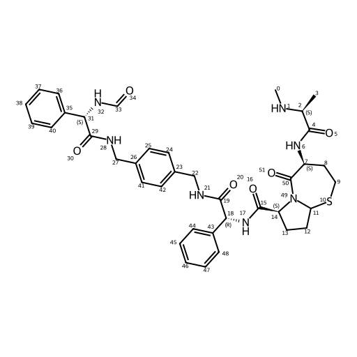 CN[C@@H](C)C(=O)N[C@H]1CCSC2CC[C@@H](C(=O)N[C@@H](C(=O)NCc3ccc(CNC(=O)[C@@H](NC=O)c4ccccc4)cc3)c3ccccc3)N2C1=O